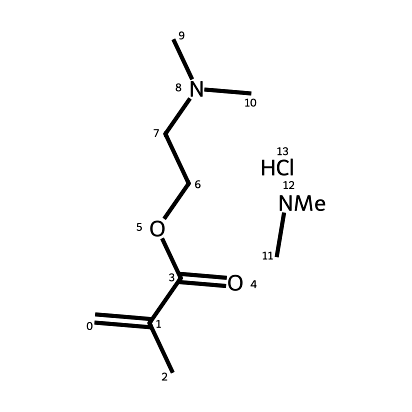 C=C(C)C(=O)OCCN(C)C.CNC.Cl